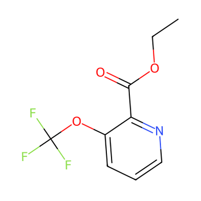 CCOC(=O)c1ncccc1OC(F)(F)F